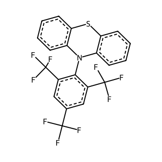 FC(F)(F)c1cc(C(F)(F)F)c(N2c3ccccc3Sc3ccccc32)c(C(F)(F)F)c1